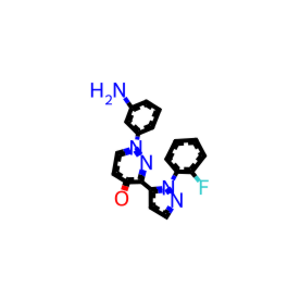 Nc1cccc(-n2ccc(=O)c(-c3ccnn3-c3ccccc3F)n2)c1